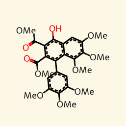 COC(=O)c1c(C(=O)OC)c(-c2cc(OC)c(OC)c(OC)c2)c2c(OC)c(OC)c(OC)cc2c1O